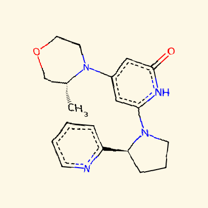 C[C@@H]1COCCN1c1cc(N2CCC[C@H]2c2ccccn2)[nH]c(=O)c1